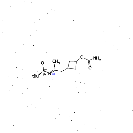 C/C(CC1CC(OC(N)=O)C1)=N\[S@+]([O-])C(C)(C)C